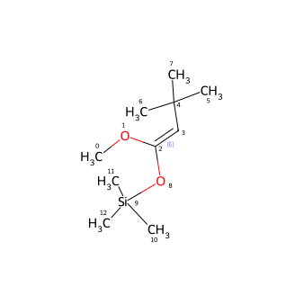 CO/C(=C\C(C)(C)C)O[Si](C)(C)C